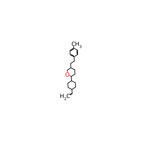 C=CC1CCC(C2CCC(CCc3ccc(C)cc3)CO2)CC1